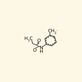 [CH2]c1cccc(NS(=O)(=O)CC)c1